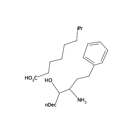 CC(C)CCCCCC(=O)O.CCCCCCCCCCC(O)C(N)CCc1ccccc1